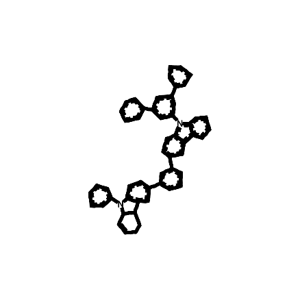 C1=CC2C(CC1)c1cc(-c3cccc(-c4ccc5c(c4)c4ccccc4n5-c4cc(-c5ccccc5)cc(-c5ccccc5)c4)c3)ccc1N2c1ccccc1